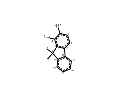 [2H]c1ccc2c(c1[2H])C(C)(C)c1ccccc1-2